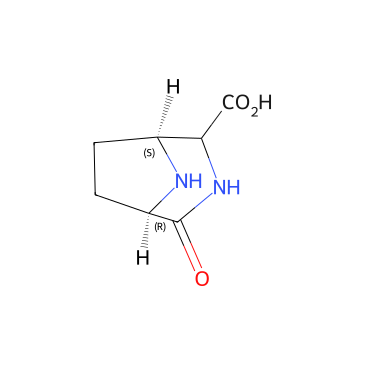 O=C(O)C1NC(=O)[C@H]2CC[C@@H]1N2